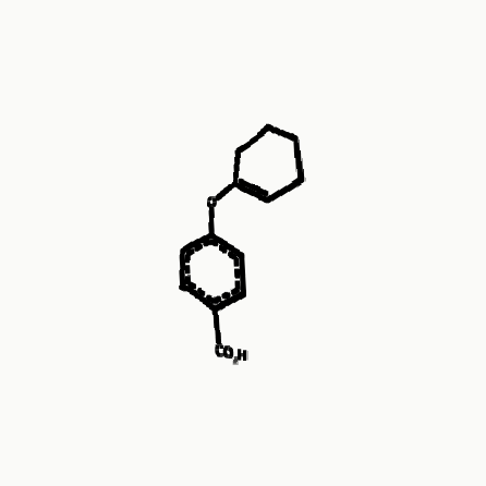 O=C(O)c1ccc(OC2=CCCCC2)cc1